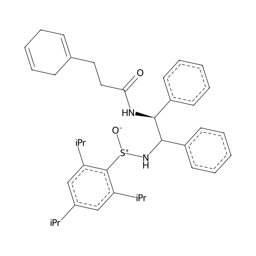 CC(C)c1cc(C(C)C)c([S+]([O-])NC(c2ccccc2)[C@@H](NC(=O)CCC2=CCC=CC2)c2ccccc2)c(C(C)C)c1